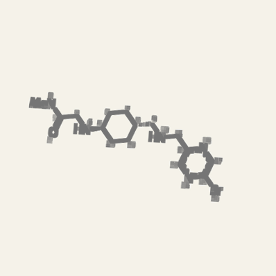 CNC(=O)CN[C@H]1CC[C@H](CNCc2cnc(Br)cn2)CC1